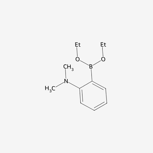 CCOB(OCC)c1ccccc1N(C)C